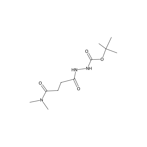 CN(C)C(=O)CCC(=O)NNC(=O)OC(C)(C)C